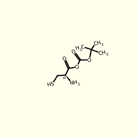 CC(C)(C)OC(=O)OC(=O)[C@@H](N)CS